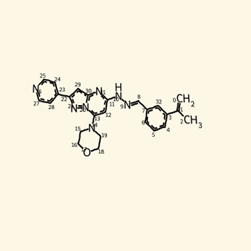 C=C(C)c1cccc(C=NNc2cc(N3CCOCC3)n3nc(-c4ccncc4)cc3n2)c1